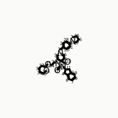 O=C1N(C2Cc3ccccc3C2)C(=O)C2(CCN(Cc3ccc(N4CCCC4)cc3)CC2)N1CCOC1CCCCO1